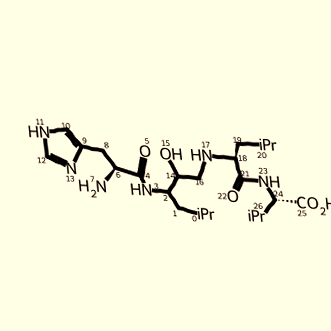 CC(C)CC(NC(=O)[C@@H](N)Cc1c[nH]cn1)C(O)CN[C@@H](CC(C)C)C(=O)N[C@H](C(=O)O)C(C)C